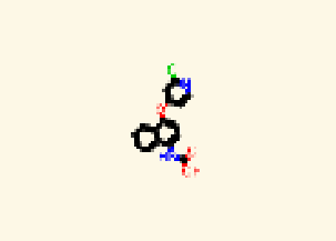 O=C(O)Nc1ccc(Oc2ccnc(Cl)c2)c2ccccc12